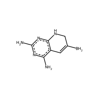 BC1=Cc2c(N)nc(N)nc2NC1